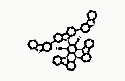 N#Cc1c(-n2c3cc(-c4ccc5sc6ccccc6c5c4)ccc3c3ccc(-c4ccc5sc6ccccc6c5c4)cc32)c(C#N)c2c3c1-n1c4ccccc4c4cccc(c41)B3c1cccc3c4ccccc4n-2c13